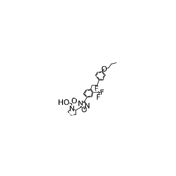 CCCOc1ccc(CCc2ccc(-c3noc(C4CCCN4C(=O)O)n3)cc2C(F)(F)F)cc1